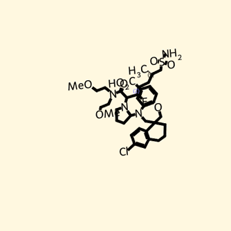 COCCN(CCOC)C(=O)C(/C(F)=C/C[C@H](C)CS(N)(=O)=O)N1CCCC1N1CC2(CCCc3cc(Cl)ccc32)COc2ccc(C(=O)O)cc21